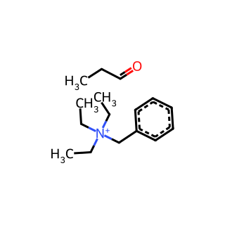 CCC=O.CC[N+](CC)(CC)Cc1ccccc1